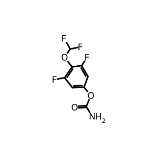 NC(=O)Oc1cc(F)c(OC(F)F)c(F)c1